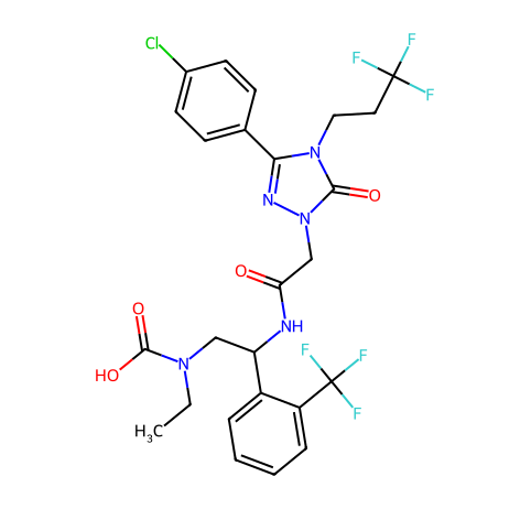 CCN(CC(NC(=O)Cn1nc(-c2ccc(Cl)cc2)n(CCC(F)(F)F)c1=O)c1ccccc1C(F)(F)F)C(=O)O